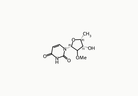 COC1[C@@H](O)[C@@H](C)O[C@H]1n1ccc(=O)[nH]c1=O